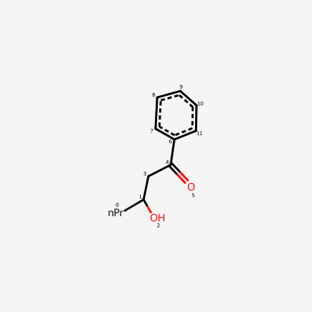 CCCC(O)CC(=O)c1ccccc1